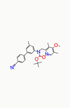 COc1c(C)cnc(CN(C(=O)OC(C)(C)C)c2cc(C)cc(-c3ccc(C#N)cc3)c2)c1C